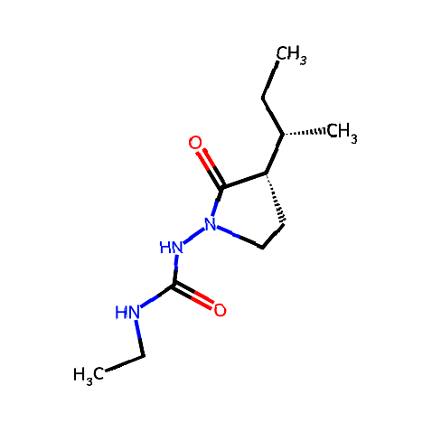 CCNC(=O)NN1CC[C@@H]([C@@H](C)CC)C1=O